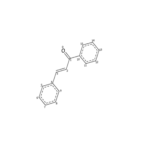 O=C(C=Cc1[c]cccc1)c1ccccc1